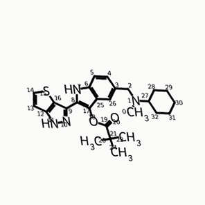 CN(Cc1ccc2[nH]c(-c3n[nH]c4ccsc34)c(OC(=O)C(C)(C)C)c2c1)C1CCCCC1